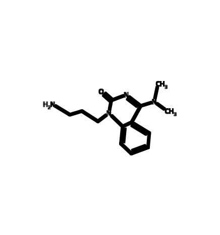 CN(C)c1nc(=O)n(CCCN)c2ccccc12